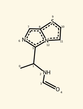 CC(NC=O)c1ncc2sccn12